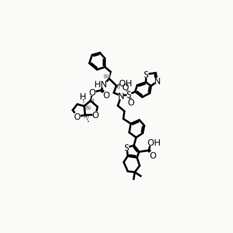 CC1(C)CCc2sc(C3C=CC=C(CCCN(C[C@@H](O)[C@H](Cc4ccccc4)NC(=O)O[C@H]4CO[C@@]5(C)OCC[C@@H]45)S(=O)(=O)c4ccc5ncsc5c4)C3)c(C(=O)O)c2C1